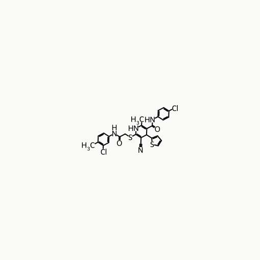 CC1=C(C(=O)Nc2ccc(Cl)cc2)C(c2cccs2)C(C#N)=C(SCC(=O)Nc2ccc(C)c(Cl)c2)N1